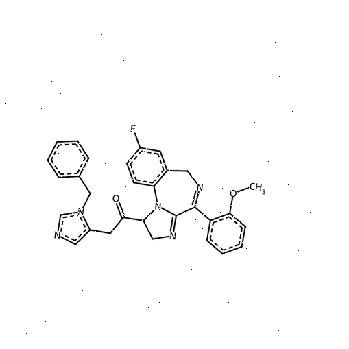 COc1ccccc1C1=NCc2cc(F)ccc2N2C1=NCC2C(=O)Cc1cncn1Cc1ccccc1